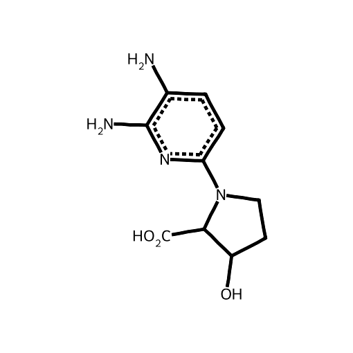 Nc1ccc(N2CCC(O)C2C(=O)O)nc1N